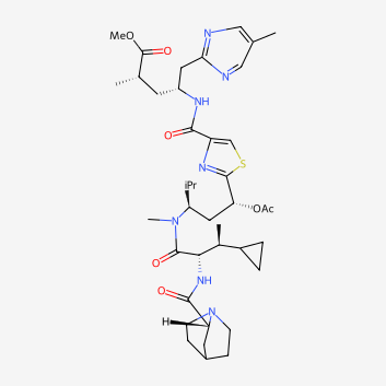 COC(=O)[C@@H](C)C[C@H](Cc1ncc(C)cn1)NC(=O)c1csc([C@@H](C[C@H](C(C)C)N(C)C(=O)[C@@H](NC(=O)[C@H]2CC3CCN2CC3)[C@@H](C)C2CC2)OC(C)=O)n1